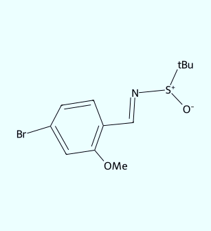 COc1cc(Br)ccc1/C=N/[S+]([O-])C(C)(C)C